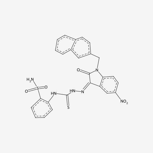 NS(=O)(=O)c1ccccc1NC(=S)NN=C1C(=O)N(Cc2ccc3ccccc3c2)c2ccc([N+](=O)[O-])cc21